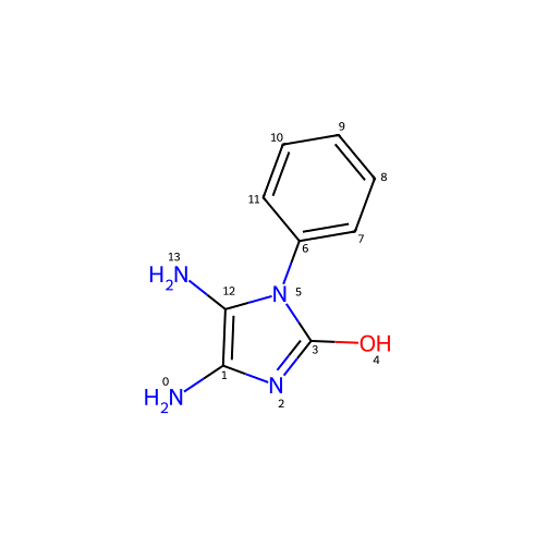 Nc1nc(O)n(-c2ccccc2)c1N